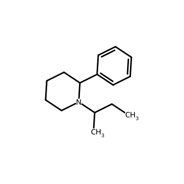 CCC(C)N1CCCCC1c1ccccc1